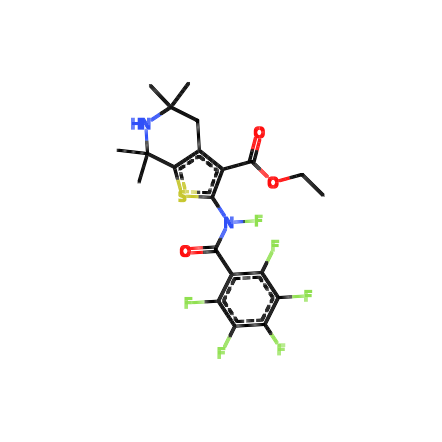 CCOC(=O)c1c(N(F)C(=O)c2c(F)c(F)c(F)c(F)c2F)sc2c1CC(C)(C)NC2(C)C